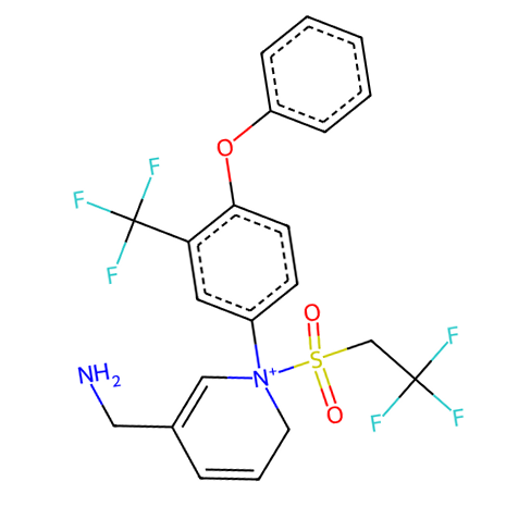 NCC1=C[N+](c2ccc(Oc3ccccc3)c(C(F)(F)F)c2)(S(=O)(=O)CC(F)(F)F)CC=C1